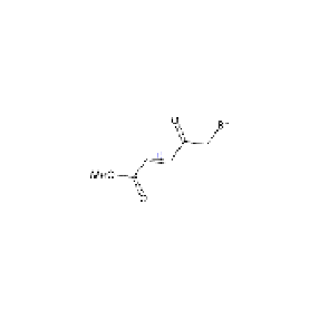 COC(=O)/C=C/C(=O)CBr